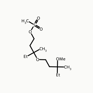 CCC(C)(CCOC(C)(CC)CCOS(C)(=O)=O)OC